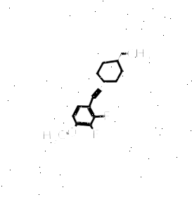 CC[C@H]1CC[C@H](C#Cc2ccc(OC)c(F)c2F)CC1